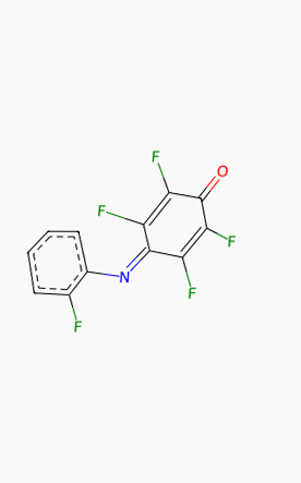 O=C1C(F)=C(F)C(=Nc2ccccc2F)C(F)=C1F